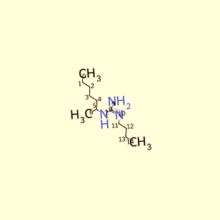 CCCCCC(C)N/C(N)=N\CCCC